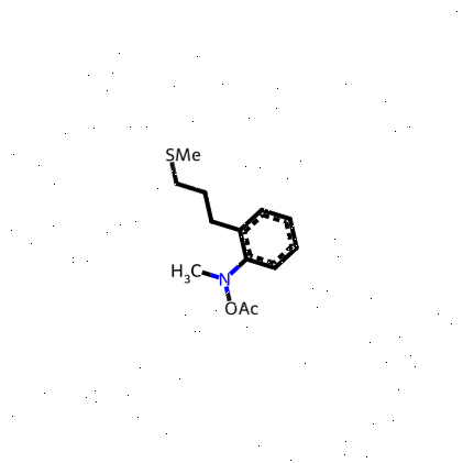 CSCCCc1ccccc1N(C)OC(C)=O